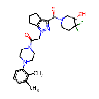 Cc1cccc(N2CCN(C(=O)Cn3nc(C(=O)N4CCC(F)(F)[C@@H](O)C4)c4c3CCC4)CC2)c1C